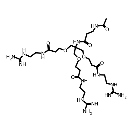 CC(=O)NCCC(=O)NC(COCCC(=O)NCCNC(=N)N)(COCCC(=O)NCCNC(=N)N)COCCC(=O)NCCNC(=N)N